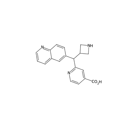 O=C(O)c1ccnc(C(c2ccc3ncccc3c2)C2CNC2)c1